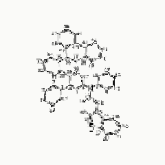 c1ccc(-c2cc(N(c3ccccc3)c3ccc4sc5ccccc5c4c3)ccc2-c2ccccc2C2Cc3ccccc3-c3ccccc32)cc1